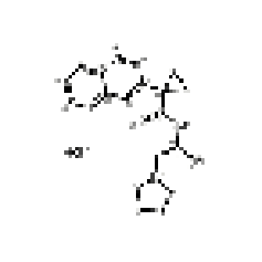 CC(C)[C@@H](CN1CCCC1)NC(=O)C1(c2cnc3ccccc3c2)CC1.Cl